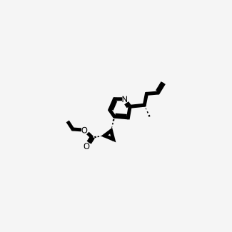 C=CC[C@H](C)c1cc([C@@H]2C[C@@H]2C(=O)OCC)ccn1